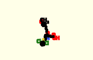 COc1ccc(CCCCOc2ccc(CSc3c(Cl)cccc3Cl)nc2C=CC(=O)O)cc1